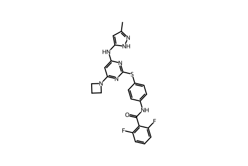 Cc1cc(Nc2cc(N3CCC3)nc(Sc3ccc(NC(=O)c4c(F)cccc4F)cc3)n2)[nH]n1